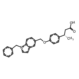 C[C@@H](CC(=O)O)c1ccc(OCc2ccc3c(ccn3Cc3ccccc3)c2)cc1